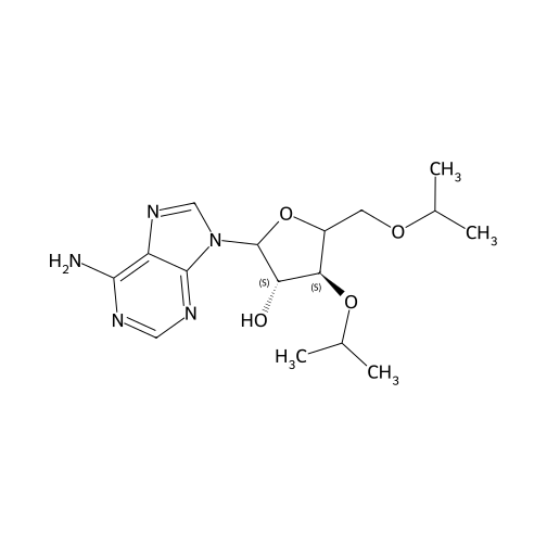 CC(C)OCC1OC(n2cnc3c(N)ncnc32)[C@@H](O)[C@@H]1OC(C)C